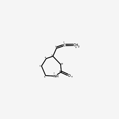 C=C=CC1CCCNC(=O)C1